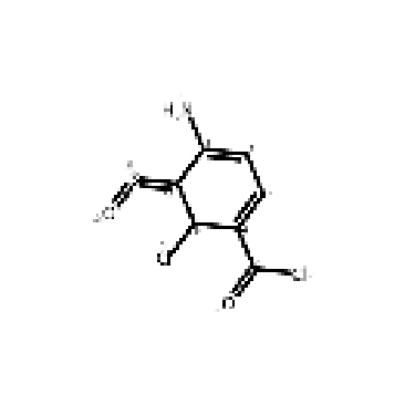 NC1=CC=C(C(=O)Cl)C(Cl)C1=S=O